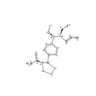 CO[C@H](c1ccc(N2CCC[C@H]2C(N)=O)cc1)[C@@H](CF)N=[N+]=[N-]